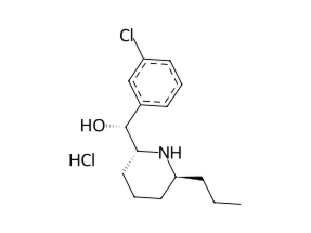 CCC[C@H]1CCC[C@H]([C@H](O)c2cccc(Cl)c2)N1.Cl